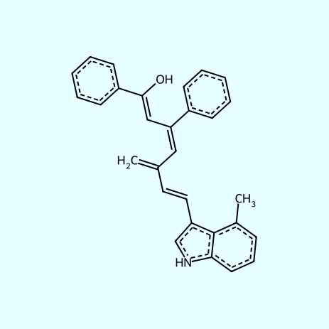 C=C(/C=C/c1c[nH]c2cccc(C)c12)/C=C(\C=C(/O)c1ccccc1)c1ccccc1